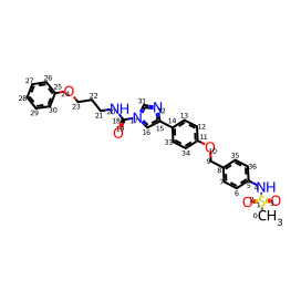 CS(=O)(=O)Nc1ccc(COc2ccc(-c3cn(C(=O)NCCCOc4ccccc4)cn3)cc2)cc1